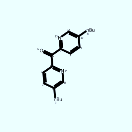 CCCCc1ccc(C(=O)c2ccc(CCCC)cn2)nc1